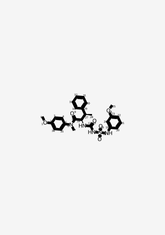 COc1ccc(N(C)C(=O)[C@@H](NC(=O)NS(=O)(=O)Nc2cccc(OC)c2)[C@H](C)c2ccccc2)cc1